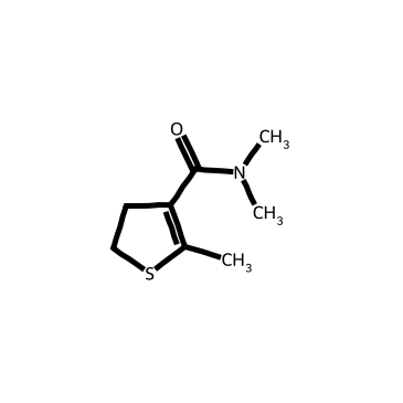 CC1=C(C(=O)N(C)C)CCS1